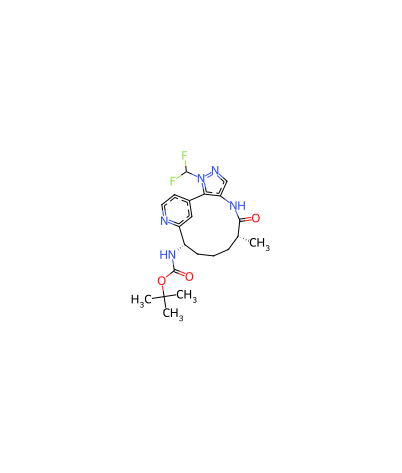 C[C@@H]1CCC[C@H](NC(=O)OC(C)(C)C)c2cc(ccn2)-c2c(cnn2C(F)F)NC1=O